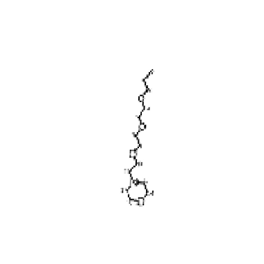 CCCOCCOCCOCCN1CCOCC1